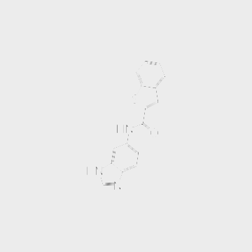 O=C(Nc1ccc2nc[nH]c2c1)c1cc2ccccc2s1